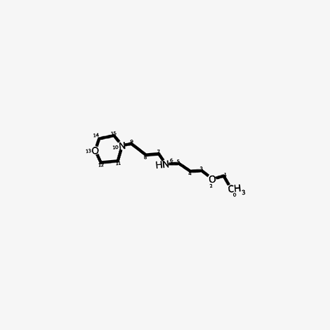 CCOCCCNCCCN1CCOCC1